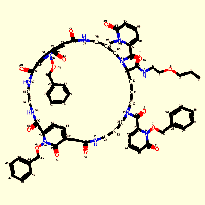 CCCOCCNC(=O)C1CCCN(C(=O)c2cccc(=O)n2OCc2ccccc2)CCCNC(=O)c2ccc(n(OCc3ccccc3)c2=O)C(=O)NCCNC(=O)c2ccc(c(=O)n2OCc2ccccc2)C(=O)NCCCN1C(=O)c1cccc(=O)n1C